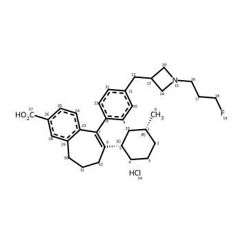 C[C@@H]1CCC[C@H](C2=C(c3ccc(CC4CN(CCCF)C4)cc3)c3ccc(C(=O)O)cc3CCC2)C1.Cl